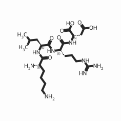 CC(C)C[C@H](NC(=O)[C@@H](N)CCCCN)C(=O)N[C@@H](CCCNC(=N)N)C(=O)N[C@@H](CC(=O)O)C(=O)O